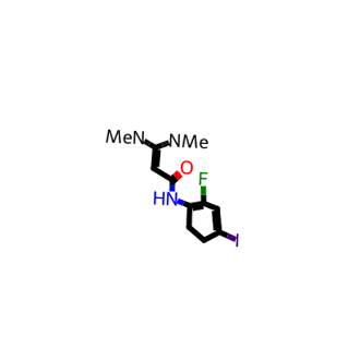 CNC(=CC(=O)NC1=C(F)C=C(I)CC1)NC